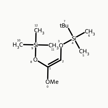 COC(=CO[Si](C)(C)C(C)(C)C)O[Si](C)(C)C